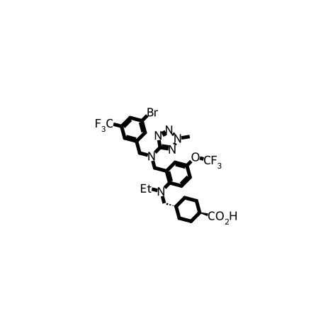 CCN(C[C@H]1CC[C@H](C(=O)O)CC1)c1ccc(OC(F)(F)F)cc1CN(Cc1cc(Br)cc(C(F)(F)F)c1)c1nnn(C)n1